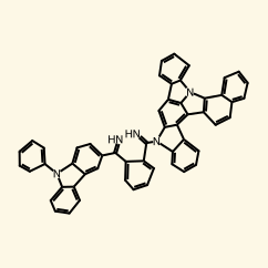 N=C(c1ccc2c(c1)c1ccccc1n2-c1ccccc1)c1ccccc1C(=N)n1c2ccccc2c2c3c4ccc5ccccc5c4n4c5ccccc5c(cc21)c34